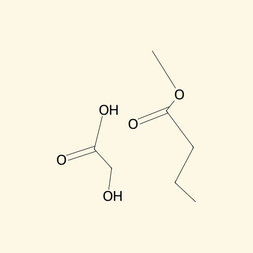 CCCC(=O)OC.O=C(O)CO